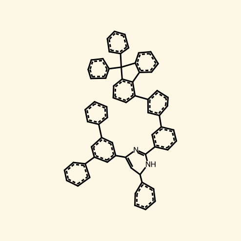 C1=C(c2cc(-c3ccccc3)cc(-c3ccccc3)c2)N=C(c2cccc(-c3cccc(-c4cccc5c4-c4ccccc4C5(c4ccccc4)c4ccccc4)c3)c2)NC1c1ccccc1